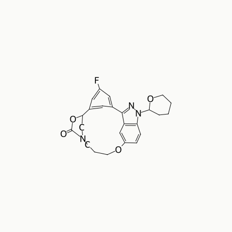 O=C1OC2CN1CCCOc1ccc3c(c1)c(nn3C1CCCCO1)-c1cc(F)cc2c1